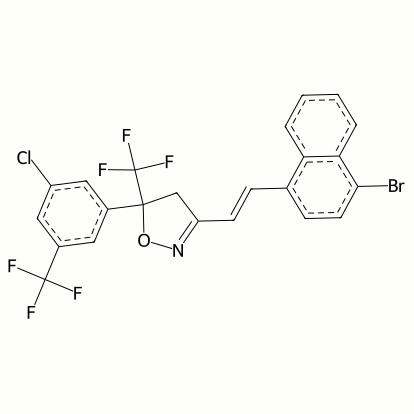 FC(F)(F)c1cc(Cl)cc(C2(C(F)(F)F)CC(C=Cc3ccc(Br)c4ccccc34)=NO2)c1